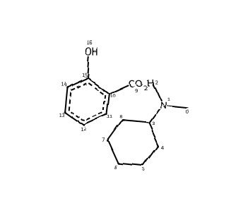 CN(C)C1CCCCC1.O=C(O)c1ccccc1O